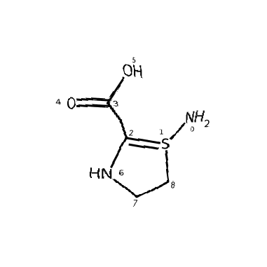 NS1=C(C(=O)O)NCC1